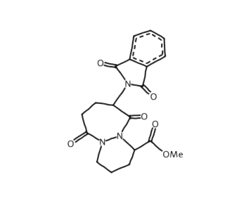 COC(=O)C1CCCN2C(=O)CCC(N3C(=O)c4ccccc4C3=O)C(=O)N12